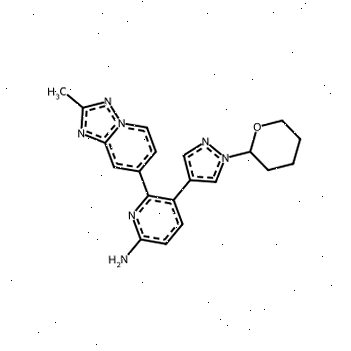 Cc1nc2cc(-c3nc(N)ccc3-c3cnn(C4CCCCO4)c3)ccn2n1